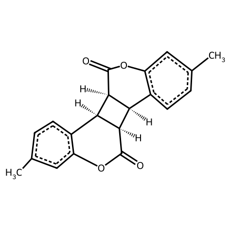 Cc1ccc2c(c1)OC(=O)[C@H]1[C@@H]2[C@H]2C(=O)Oc3cc(C)ccc3[C@H]21